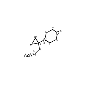 CC(=O)NCC1(N2CCOCC2)CC1